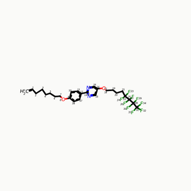 C=CCCCCCCOc1ccc(-c2ncc(OCCCCC(F)(F)C(F)(F)C(F)(F)C(F)(F)F)cn2)cc1